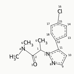 CC(C(=O)N(C)C)n1nccc1-c1ccc(Cl)cc1